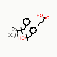 CC(C)(O)Cc1ccccc1.CCC(C(=O)O)C(C)(C)Cc1ccccc1.CCCC(=O)O